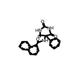 O=C1NC(=O)C(NC(=O)c2cccc3ccccc23)(c2ccccc2)C(=O)N1